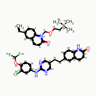 C=Cc1ccc2c(ccc(=O)n2COCC[Si](C)(C)C)c1.O=c1ccc2cc(CCc3cnc(Nc4ccc(OC(F)F)c(Cl)c4)nc3)ccc2[nH]1